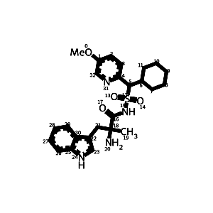 COc1ccc(C(C2CCCCC2)S(=O)(=O)NC(=O)C(C)(N)Cc2c[nH]c3ccccc23)nc1